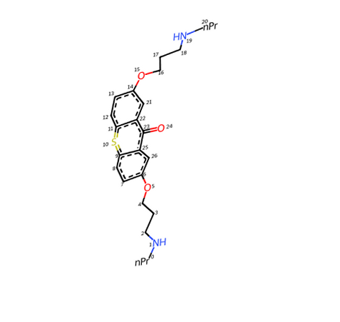 CCCNCCCOc1ccc2sc3ccc(OCCCNCCC)cc3c(=O)c2c1